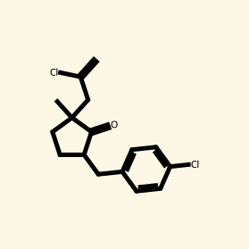 C=C(Cl)CC1(C)CCC(Cc2ccc(Cl)cc2)C1=O